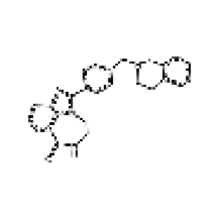 O=C1NCCn2c(-c3ccc(CN4CCc5ccccc5C4)cc3)nc3cccc1c32